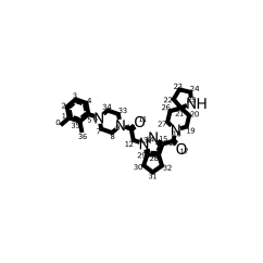 Cc1cccc(N2CCN(C(=O)Cn3nc(C(=O)N4CCC5(CCCN5)CC4)c4c3CCC4)CC2)c1C